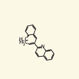 C=c1cccc/c1=C/C(=C\C)c1ccc2ccccc2n1